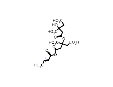 O=C(O)/C=C/C(=O)OC(=O)CC(CC(=O)O)(OC(=O)CC(O)(CC(=O)O)C(=O)O)C(=O)O